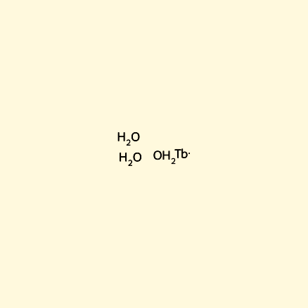 O.O.O.[Tb]